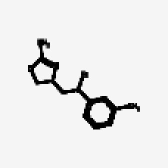 CCN(CC1COC(N)=N1)c1cccc(C)c1